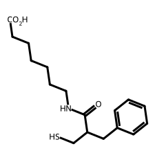 O=C(O)CCCCCCNC(=O)C(CS)Cc1ccccc1